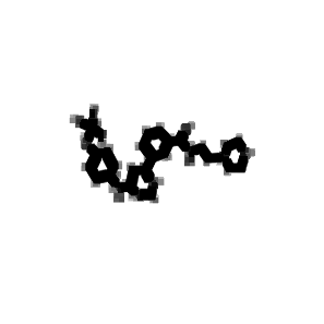 O=C(NCCN1CCOCC1)c1cccc(-c2cc(Nc3ccc(OC(F)(F)F)cc3)ncn2)c1